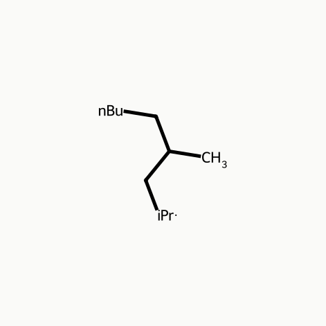 CCCCCC(C)C[C](C)C